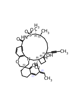 C=C1/C(=C\C(Cl)=C/C)CCC[C@]12COc1ccc3cc1N(C[C@@H]1CC[C@H]1[C@](O)(C#CC)CCC[C@H](C)[C@@H](C)S(=O)(=O)NC3=O)C2